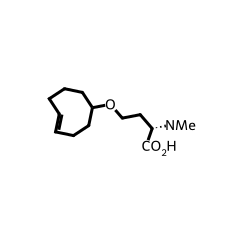 CN[C@@H](CCOC1CC/C=C/CCC1)C(=O)O